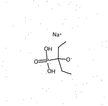 CCC([O-])(CC)P(=O)(O)O.[Na+]